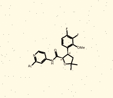 COc1c([C@H]2CC(C)(C)O[C@H]2C(=O)Nc2ccnc(C(C)=O)c2)ccc(F)c1F